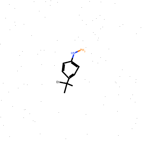 CCC(C)(C)c1ccc(NP)cc1